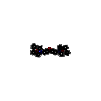 C1=CCCC(N(c2ccc3cc4c(cc3c2)oc2cc3cc(N(c5ccccc5)c5cccc6c5oc5c(-c7ccccc7)cccc56)ccc3cc24)c2cccc3c2oc2c(-c4ccccc4)cccc23)=C1